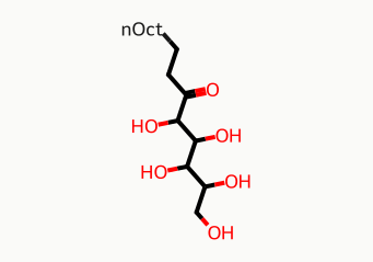 CCCCCCCCCCC(=O)C(O)C(O)C(O)C(O)CO